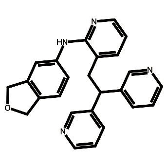 c1cncc(C(Cc2cccnc2Nc2ccc3c(c2)COC3)c2cccnc2)c1